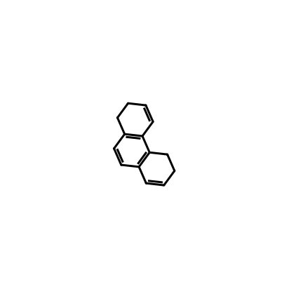 C1=Cc2c(ccc3c2CCC=C3)CC1